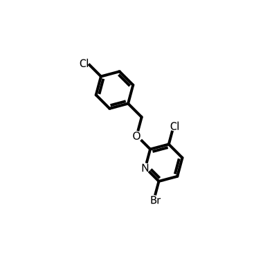 Clc1ccc(COc2nc(Br)ccc2Cl)cc1